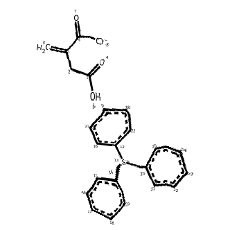 C=C(CC(=O)O)C(=O)[O-].c1ccc([S+](c2ccccc2)c2ccccc2)cc1